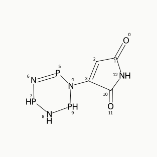 O=C1C=C(n2pn[pH][nH][pH]2)C(=O)N1